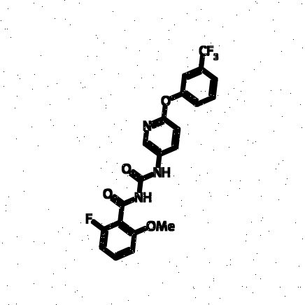 COc1cccc(F)c1C(=O)NC(=O)Nc1ccc(Oc2cccc(C(F)(F)F)c2)nc1